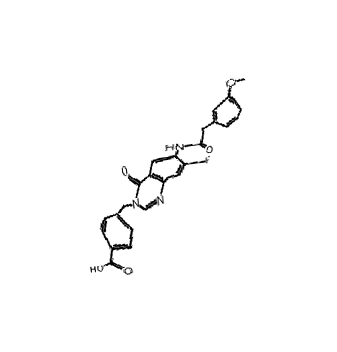 COc1cccc(CC(=O)Nc2cc3c(=O)n(Cc4ccc(C(=O)O)cc4)cnc3cc2F)c1